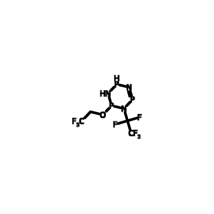 FC(F)(F)COp1[nH][pH]npn1C(F)(F)C(F)(F)F